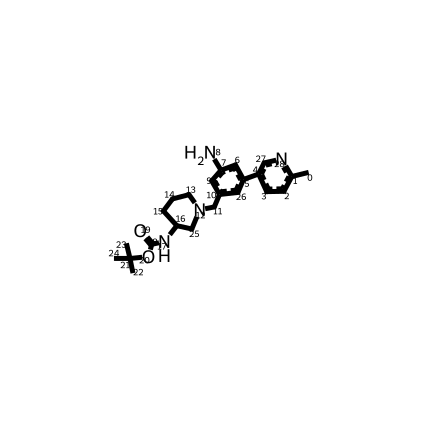 Cc1ccc(-c2cc(N)cc(CN3CCCC(NC(=O)OC(C)(C)C)C3)c2)cn1